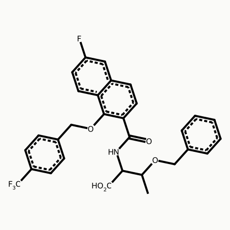 CC(OCc1ccccc1)C(NC(=O)c1ccc2cc(F)ccc2c1OCc1ccc(C(F)(F)F)cc1)C(=O)O